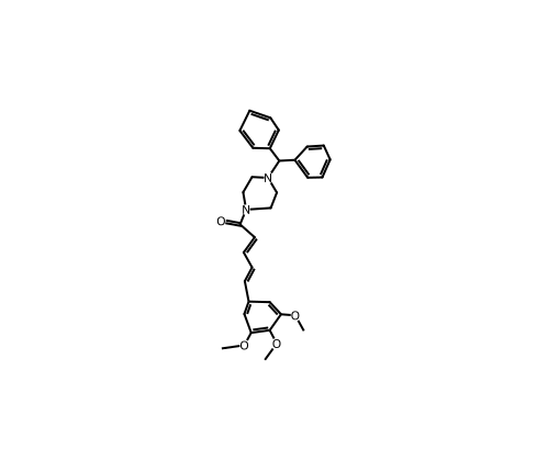 COc1cc(C=CC=CC(=O)N2CCN(C(c3ccccc3)c3ccccc3)CC2)cc(OC)c1OC